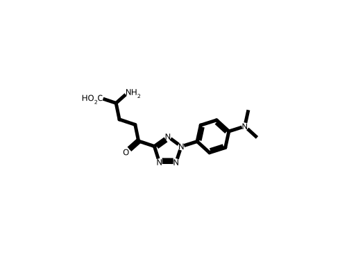 CN(C)c1ccc(-n2nnc(C(=O)CCC(N)C(=O)O)n2)cc1